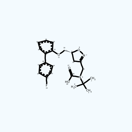 CC(C)(C)N(CC1=NO[C@@H](COc2ccccc2-c2ccc(F)cc2)C1)C(=O)O